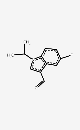 CC(C)n1cc(C=O)c2cc(F)ccc21